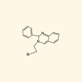 BrCCN1C=c2ccccc2=NC1c1ccccc1